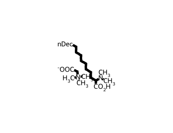 CCCCCCCCCCCCCCCCCCC(C(=O)O)N(C)C.C[N+](C)(C)CC(=O)[O-]